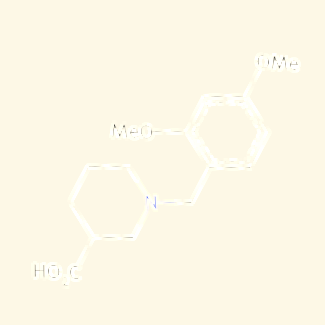 COc1ccc(CN2CCCC(C(=O)O)C2)c(OC)c1